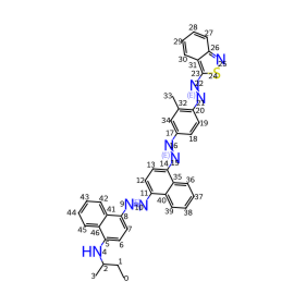 CCC(C)Nc1ccc(/N=N/c2ccc(/N=N/c3ccc(/N=N/c4snc5ccccc45)c(C)c3)c3ccccc23)c2ccccc12